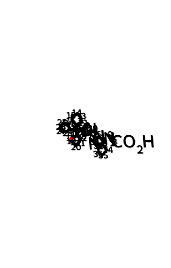 CN(CC(=O)O)c1nc(-c2cn(C(c3ccccc3)(c3ccccc3)c3ccccc3)cn2)nc2c1CCC2